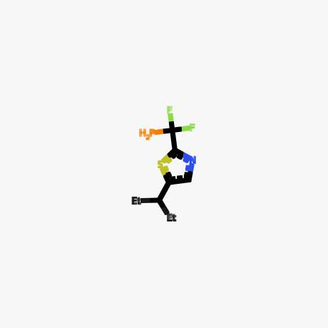 CCC(CC)c1cnc(C(F)(F)P)s1